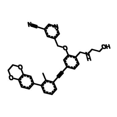 Cc1c(C#Cc2ccc(CNCCO)c(OCc3cncc(C#N)c3)c2)cccc1-c1ccc2c(c1)OCCO2